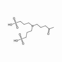 CC(=O)CCCN(CCCS(=O)(=O)O)CCCS(=O)(=O)O